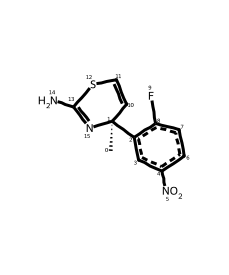 C[C@@]1(c2cc([N+](=O)[O-])ccc2F)C=CSC(N)=N1